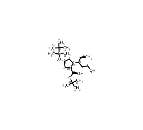 C=CC(CCO)[C@@H]1C[C@@H](O[Si](C)(C)C(C)(C)C)CN1C(=O)OC(C)(C)C